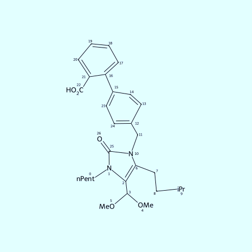 CCCCCn1c(C(OC)OC)c(CCC(C)C)n(Cc2ccc(-c3ccccc3C(=O)O)cc2)c1=O